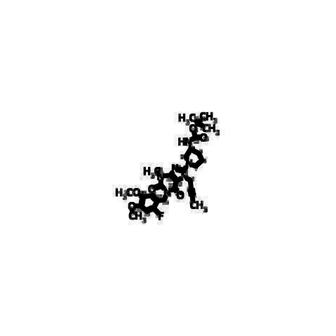 CC#CCn1c(N2CCC[C@@H](NC(=O)OC(C)(C)C)C2)nc2c1c(=O)n(Cc1cc(OC)c(OC)cc1F)c(=O)n2C